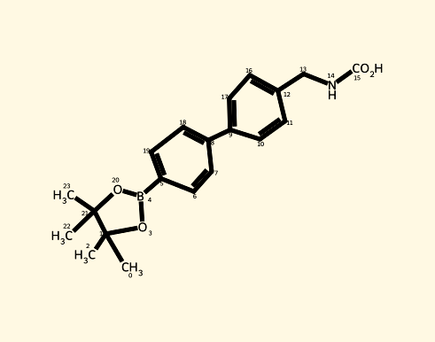 CC1(C)OB(c2ccc(-c3ccc(CNC(=O)O)cc3)cc2)OC1(C)C